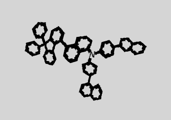 c1ccc(C2(c3ccccc3)c3ccccc3-c3c(-c4cccc5c(N(c6ccc(-c7ccc8ccccc8c7)cc6)c6ccc(-c7cccc8ccccc78)cc6)cccc45)cccc32)cc1